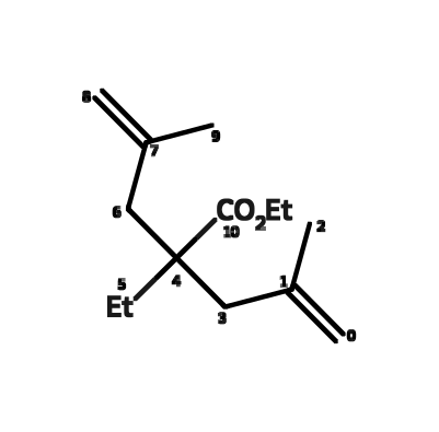 C=C(C)CC(CC)(CC(=C)C)C(=O)OCC